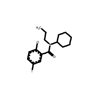 CCCN(C(=O)c1cc(I)ccc1Cl)C1CCCCC1